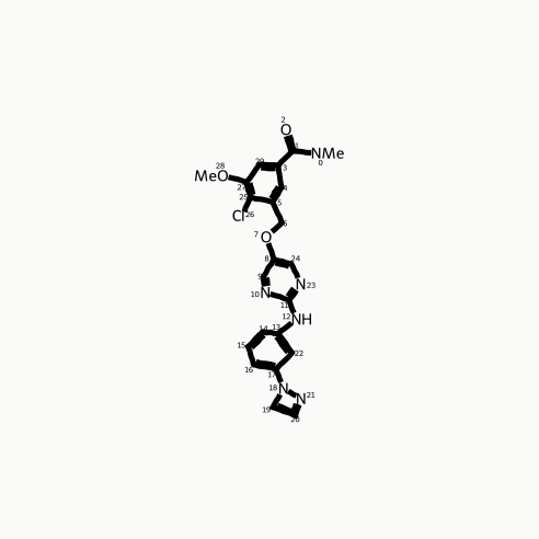 CNC(=O)c1cc(COc2cnc(Nc3cccc(N4C=C=N4)c3)nc2)c(Cl)c(OC)c1